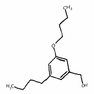 CCCCOc1cc(CO)cc(CCCC)c1